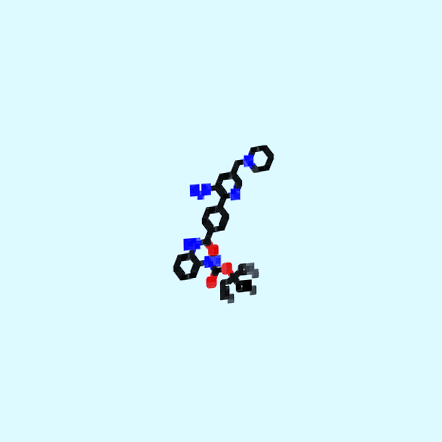 CC(C)(C)OC(=O)Nc1ccccc1NC(=O)c1ccc(-c2ncc(CN3CCCCC3)cc2N)cc1